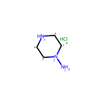 Cl.NN1CCNCC1